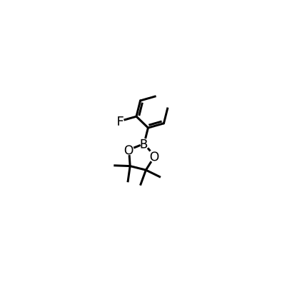 C/C=C(B1OC(C)(C)C(C)(C)O1)\C(F)=C/C